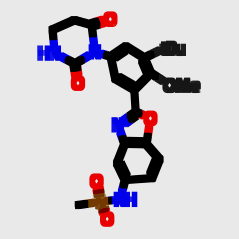 COc1c(-c2nc3cc(NS(C)(=O)=O)ccc3o2)cc(N2C(=O)CCNC2=O)cc1C(C)(C)C